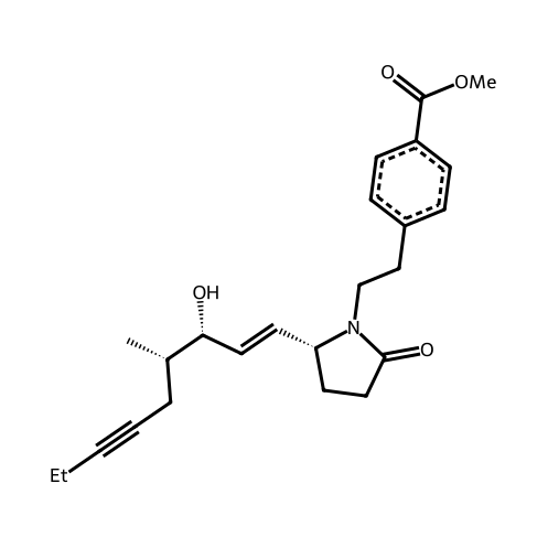 CCC#CC[C@H](C)[C@H](O)C=C[C@H]1CCC(=O)N1CCc1ccc(C(=O)OC)cc1